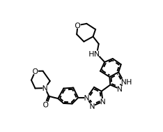 O=C(c1ccc(-n2cc(-c3n[nH]c4ccc(NCC5CCOCC5)cc34)nn2)cc1)N1CCOCC1